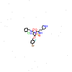 CS(=O)(=O)N[C@H](CCC1CCNCC1)C(=O)N1C[C@H](OCc2ccc(Br)cc2F)C[C@H]1C(=O)NCc1ccccc1Cl